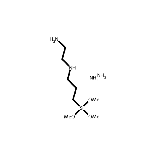 CO[Si](CCCNCCN)(OC)OC.N.N